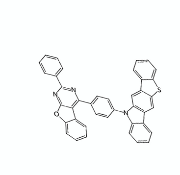 c1ccc(-c2nc(-c3ccc(-n4c5ccccc5c5cc6sc7ccccc7c6cc54)cc3)c3c(n2)oc2ccccc23)cc1